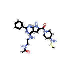 CSNC1CCN(C(=O)c2cc3c(NCCNC(C)=O)nc(-c4ccccc4)nc3[nH]2)CC1